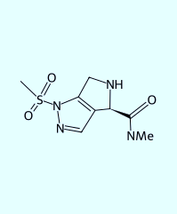 CNC(=O)[C@@H]1NCc2c1cnn2S(C)(=O)=O